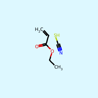 C=CC(=O)OCC.N#CS